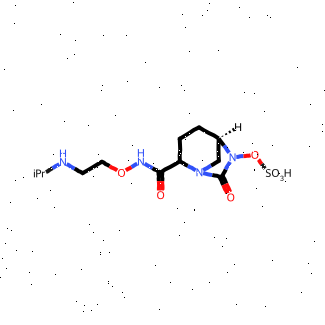 CC(C)NCCONC(=O)C1CC[C@@H]2CN1C(=O)N2OS(=O)(=O)O